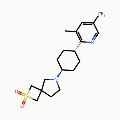 Cc1cc(C(F)(F)F)cnc1[C@H]1CC[C@H](N2CCC3(C2)CS(=O)(=O)C3)CC1